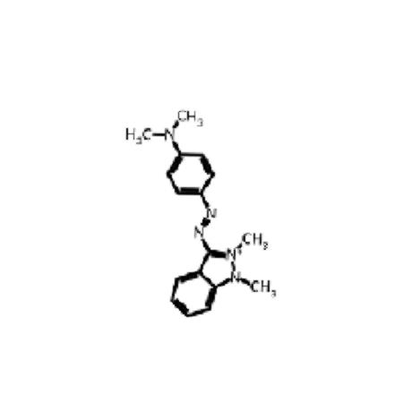 CN(C)c1ccc(N=Nc2c3ccccc3n(C)[n+]2C)cc1